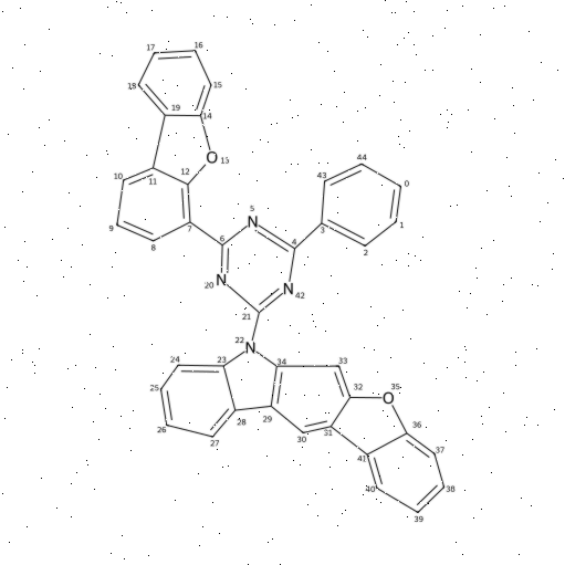 c1ccc(-c2nc(-c3cccc4c3oc3ccccc34)nc(-n3c4ccccc4c4cc5c(cc43)oc3ccccc35)n2)cc1